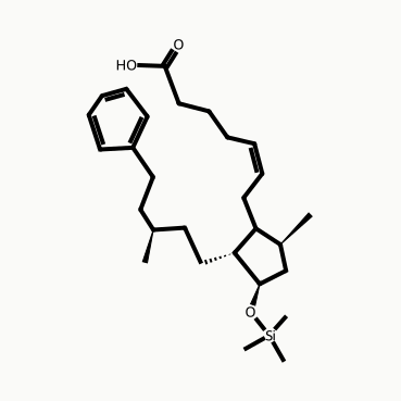 C[C@@H](CCc1ccccc1)CC[C@@H]1C(C/C=C\CCCC(=O)O)[C@@H](C)C[C@H]1O[Si](C)(C)C